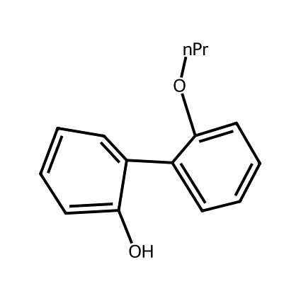 CCCOc1ccccc1-c1ccccc1O